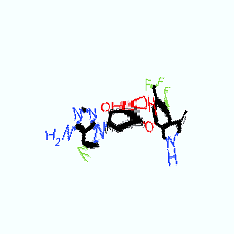 C[C@H]1CNCc2c(O[C@H]3C[C@@H](n4cc(F)c5c(N)ncnc54)[C@H](O)[C@@H]3O)cc(C(F)F)c(F)c21